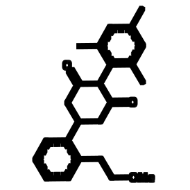 COCCc1ccccc1C1CC(=O)C(c2c(C)cc(C)cc2C)C(=O)C1